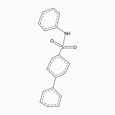 O=S(=O)(Nc1c[c]ccc1)c1ccc(-c2ccccc2)cc1